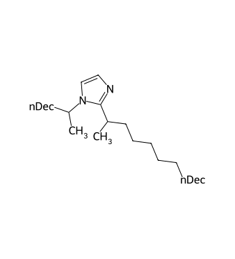 CCCCCCCCCCCCCCCC(C)c1nccn1C(C)CCCCCCCCCC